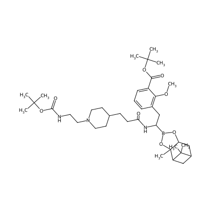 COc1c(CC(NC(=O)CCC2CCN(CCNC(=O)OC(C)(C)C)CC2)B2OC3CC4CC(C4(C)C)C3(C)O2)cccc1C(=O)OC(C)(C)C